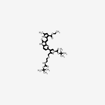 CCOC(=O)c1cc(C)[nH]c1/C=C1\C(=O)Nc2ccc(-c3cn(C(=O)OC(C)(C)C)nc3COCCNC(=O)OC(C)(C)C)nc21